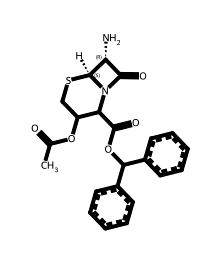 CC(=O)OC1CS[C@H]2[C@H](N)C(=O)N2C1C(=O)OC(c1ccccc1)c1ccccc1